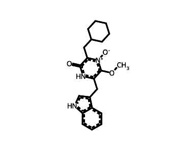 COc1c(Cc2c[nH]c3ccccc23)[nH]c(=O)c(CC2CCCCC2)[n+]1[O-]